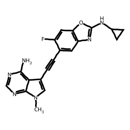 Cn1cc(C#Cc2cc3nc(NC4CC4)oc3cc2F)c2c(N)ncnc21